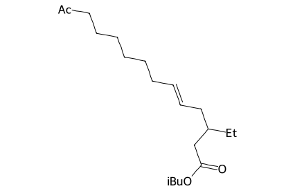 CCC(C/C=C/CCCCCCC(C)=O)CC(=O)OCC(C)C